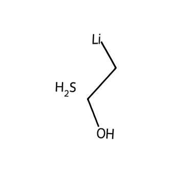 S.[Li][CH2]CO